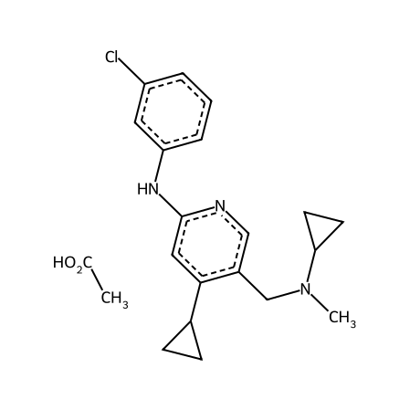 CC(=O)O.CN(Cc1cnc(Nc2cccc(Cl)c2)cc1C1CC1)C1CC1